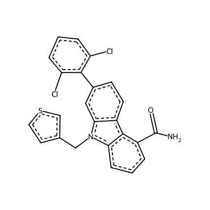 NC(=O)c1cccc2c1c1[c]cc(-c3c(Cl)cccc3Cl)cc1n2Cc1ccsc1